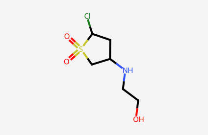 O=S1(=O)CC(NCCO)CC1Cl